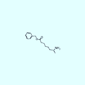 CC(N)CCCCCC(=O)OCc1ccccc1